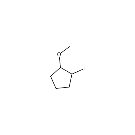 COC1CCCC1I